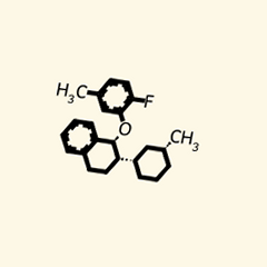 Cc1ccc(F)c(O[C@H]2c3ccccc3CCC2[C@H]2CCC[C@@H](C)C2)c1